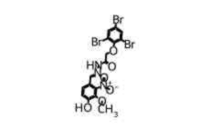 COc1c(O)ccc(/C=N/NC(=O)COc2c(Br)cc(Br)cc2Br)c1[N+](=O)[O-]